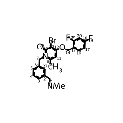 CNCc1cccc(Cn2c(C)cc(OCc3ccc(F)cc3F)c(Br)c2=O)c1